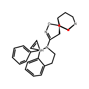 C1=C[SH]12(c1ccccc1)c1ccccc1CCN2C1=NO[C@@]2(C1)CN1CCC2CC1